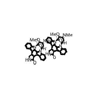 CN[C@H]1C[C@@H]2O[C@](C)([C@H]1OC)n1c3ccccc3c3c4c(c5c6ccccc6n2c5c31)C(=O)NC4.CN[C@H]1C[C@@H]2O[C@](C)([C@H]1OC)n1c3ccccc3c3c4c(c5c6ccccc6n2c5c31)C(=O)NC4